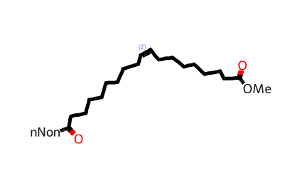 CCCCCCCCCC(=O)CCCCCCCC/C=C\CCCCCCCC(=O)OC